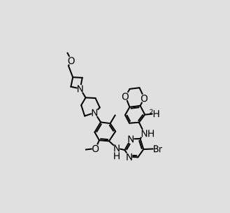 [2H]c1c(Nc2nc(Nc3cc(C)c(N4CCC(N5CC(COC)C5)CC4)cc3OC)ncc2Br)ccc2c1OCCO2